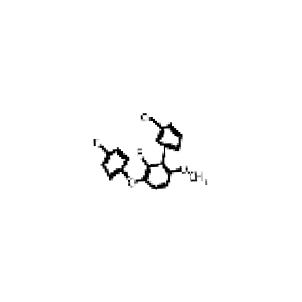 COc1ccc(Oc2ccc(F)cc2)c(F)c1-c1cccc(Cl)c1